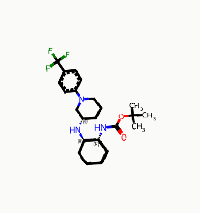 CC(C)(C)OC(=O)N[C@@H]1CCCC[C@H]1N[C@H]1CCCN(c2ccc(C(F)(F)F)cc2)C1